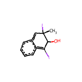 CC1(I)C=c2ccccc2=C(I)C1O